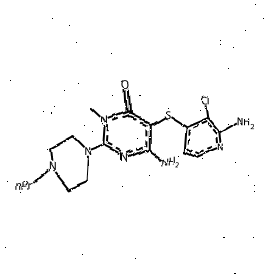 CCCN1CCN(c2nc(N)c(Sc3ccnc(N)c3Cl)c(=O)n2C)CC1